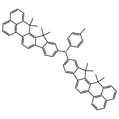 Cc1ccc(N(c2ccc3c(c2)C(C)(C)c2c-3ccc3c2C(C)(C)c2cccc4cccc-3c24)c2ccc3c(c2)C(C)(C)c2c-3ccc3c2C(C)(C)c2cccc4cccc-3c24)cc1